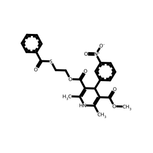 COC(=O)C1=C(C)NC(C)=C(C(=O)OCCSC(=O)c2ccccc2)C1c1cccc([N+](=O)[O-])c1